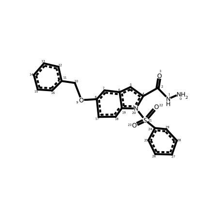 NNC(=O)c1cc2cc(OCc3ccccc3)ccc2n1S(=O)(=O)c1ccccc1